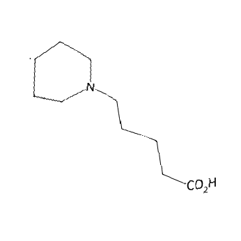 O=C(O)CCCCN1CC[CH]CC1